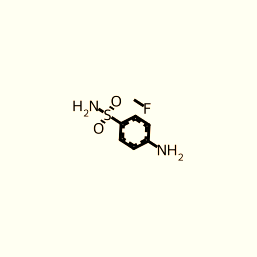 CF.Nc1ccc(S(N)(=O)=O)cc1